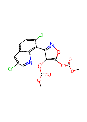 COC(=O)Oc1onc(-c2c(Cl)ccc3cc(Cl)cnc23)c1OC(=O)OC